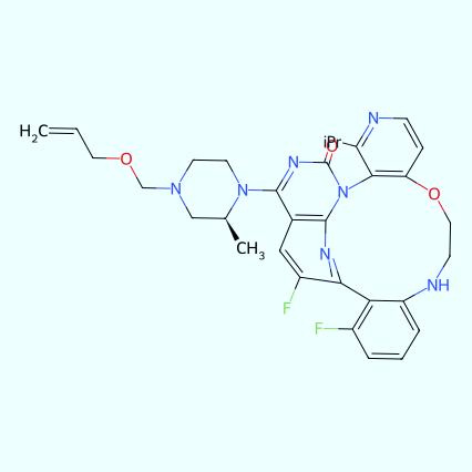 C=CCOCN1CCN(c2nc(=O)n3c4nc(c(F)cc24)-c2c(F)cccc2NCCOc2ccnc(C(C)C)c2-3)[C@@H](C)C1